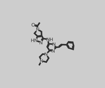 CC(=O)N1Cc2[nH]nc(Nc3cc(N4CCN(C)CC4)nc(/C=C/c4ccccc4)n3)c2C1